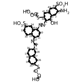 Nc1cc2c(O)c(N=Nc3ccc(N=Nc4ccc5ccc(SOOO)cc5c4)c4ccc(S(=O)(=O)O)cc34)c(SOOO)cc2cc1S(=O)(=O)O